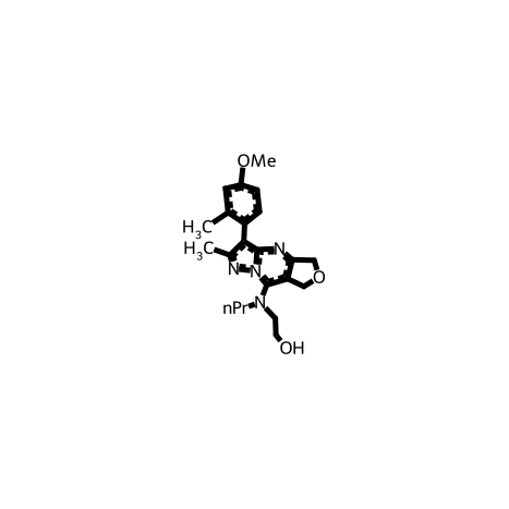 CCCN(CCO)c1c2c(nc3c(-c4ccc(OC)cc4C)c(C)nn13)COC2